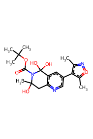 BC1(O)Cc2ncc(-c3c(C)noc3C)cc2C(O)(O)N1C(=O)OC(C)(C)C